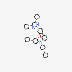 c1ccc(-c2ccc(N(c3ccc(-c4ccccc4)cc3)c3cccc4c3oc3cc(-c5nc(-c6ccccc6)cc(-c6ccccc6)n5)ccc34)cc2)cc1